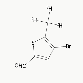 [2H]C([2H])([2H])c1sc(C=O)cc1Br